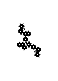 c1ccc2c(-c3ccc(N(c4ccc(-c5ccc(-c6cccc7c6oc6ccccc67)cc5)cc4)c4cc5ccccc5c5ccccc45)cc3)cc(-c3cccc4c3oc3ccccc34)cc2c1